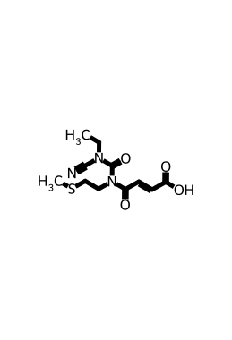 CCN(C#N)C(=O)N(CCSC)C(=O)/C=C/C(=O)O